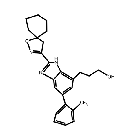 OCCCc1cc(-c2ccccc2C(F)(F)F)cc2nc(C3=NOC4(CCCCC4)C3)[nH]c12